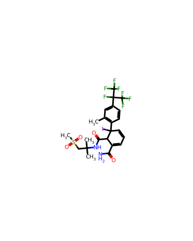 Cc1cc(C(F)(C(F)(F)F)C(F)(F)F)ccc1C1(I)C=CC=C(C(N)=O)C1C(=O)NC(C)(C)CS(C)(=O)=O